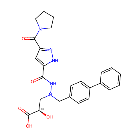 O=C(NN(Cc1ccc(-c2ccccc2)cc1)C[C@@H](O)C(=O)O)c1cc(C(=O)N2CCCC2)n[nH]1